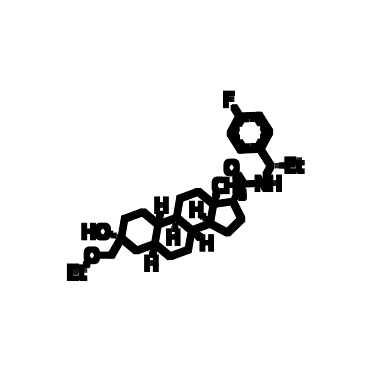 CCOC[C@@]1(O)CC[C@H]2[C@H](CC[C@@H]3[C@@H]2CC[C@]2(C)[C@@H](C(=O)N[C@@H](CC)c4ccc(F)cc4)CC[C@@H]32)C1